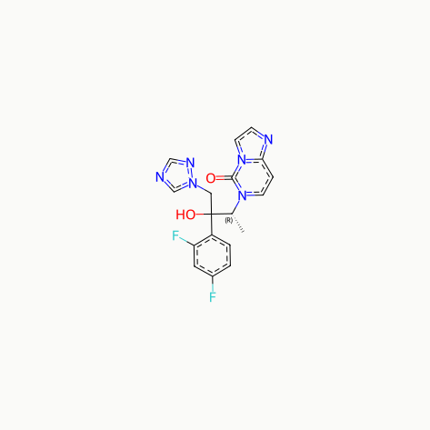 C[C@@H](n1ccc2nccn2c1=O)C(O)(Cn1cncn1)c1ccc(F)cc1F